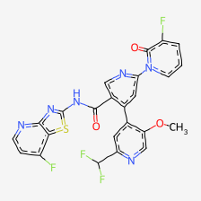 COc1cnc(C(F)F)cc1-c1cc(-n2cccc(F)c2=O)ncc1C(=O)Nc1nc2nccc(F)c2s1